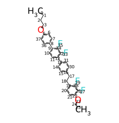 CCCCOc1ccc(-c2ccc(-c3ccc(CCc4ccc(OCC)c(F)c4F)cc3)c(F)c2F)cc1